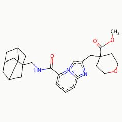 COC(=O)C1(Cc2cn3c(C(=O)NCC45CC6CC(CC(C6)C4)C5)cccc3n2)CCOCC1